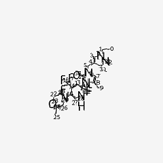 CCn1cc(Cn2cc(C)n(C3(F)C=C(C(F)(F)F)C(N4CCO[C@H](C)C4)=CN3)c2=O)cn1